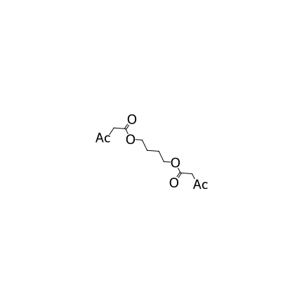 CC(=O)CC(=O)OCCCCOC(=O)CC(C)=O